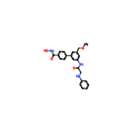 CCCOCc1cc(NC(=O)CNc2ccccc2)cc(-c2ccc(C(=O)NO)cc2)c1